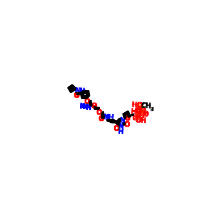 CP(=O)(O)OP(=O)(O)OP(=O)(O)OC[C@@H]1CC[C@H](n2cc(C#CCNC(=O)COCCOC(COc3cccc(C(=O)NC4CCC4)c3)N=[N+]=[N-])c(=O)[nH]c2=O)O1